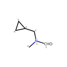 CN([C]=O)CC1CC1